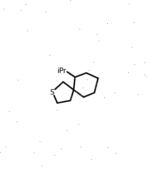 CC(C)C1CCCCC12CCSC2